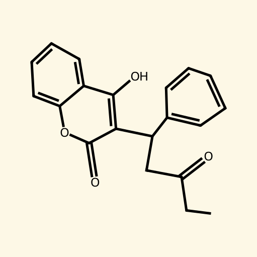 CCC(=O)CC(c1ccccc1)c1c(O)c2ccccc2oc1=O